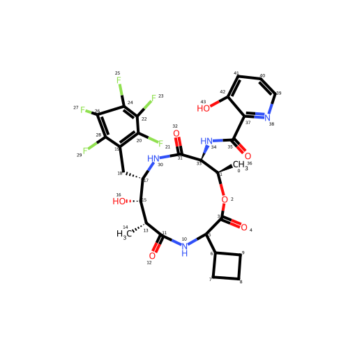 C[C@H]1OC(=O)C(C2CCC2)NC(=O)[C@H](C)[C@H](O)[C@H](Cc2c(F)c(F)c(F)c(F)c2F)NC(=O)[C@H]1NC(=O)c1ncccc1O